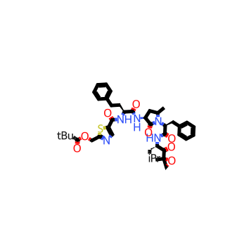 CC(C)C[C@H](NC(=O)[C@H](Cc1ccccc1)N1C(=O)[C@@H](NC(=O)[C@H](CCc2ccccc2)NC(=O)c2cnc(COC(=O)C(C)(C)C)s2)CC1C)C(=O)C1(C)CO1